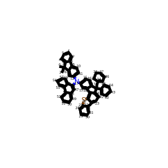 CC1(C)c2ccccc2-c2ccc(N(c3ccc4c(c3)-c3c(ccc5c3sc3ccccc35)C4(C3=CC=CCC3)c3ccccc3)c3cc4ccccc4c4ccccc34)cc21